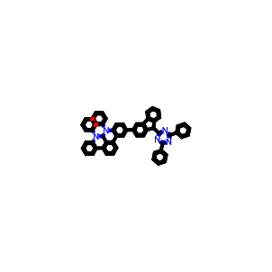 c1ccc(-c2nc(-c3ccccc3)nc(C3c4ccccc4-c4cc(-c5ccc6c(c5)-c5cccc7c5C(N(c5ccccc5)c5ccccc5-7)N6c5ccccc5)ccc43)n2)cc1